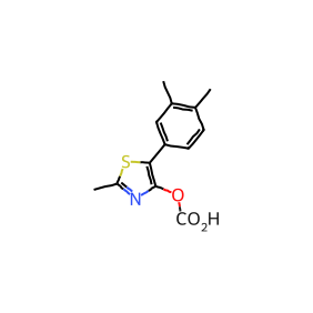 Cc1nc(OC(=O)O)c(-c2ccc(C)c(C)c2)s1